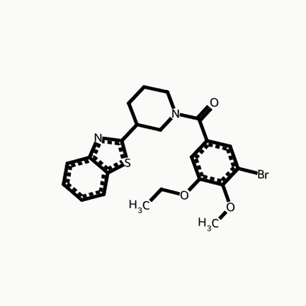 CCOc1cc(C(=O)N2CCCC(c3nc4ccccc4s3)C2)cc(Br)c1OC